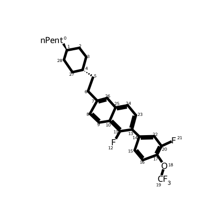 CCCCC[C@H]1CC[C@H](CCc2ccc3c(F)c(-c4ccc(OC(F)(F)F)c(F)c4)ccc3c2)CC1